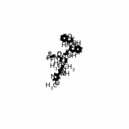 COc1cncc(-c2cc(C(C)(C)N3CCN(C[C@@H](O)C[C@@H](Cc4ccccc4)C(=O)N[C@H]4c5ccccc5OC[C@H]4O)[C@H](C(=O)NCC(F)(F)F)C3)n[nH]2)c1